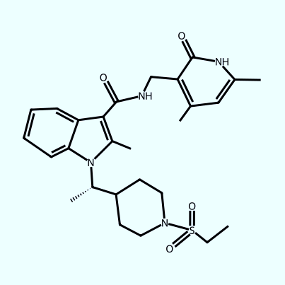 CCS(=O)(=O)N1CCC([C@H](C)n2c(C)c(C(=O)NCc3c(C)cc(C)[nH]c3=O)c3ccccc32)CC1